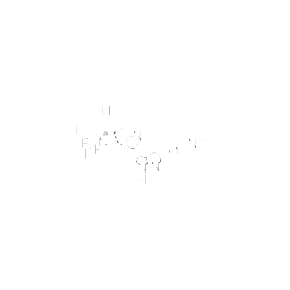 CC(C)[C@@H](NCC(F)(F)F)C(=O)Nc1cncc(-c2c[nH]c3ncc(COCCN4CCOCC4)cc23)c1